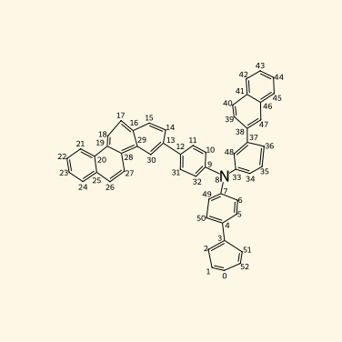 c1ccc(-c2ccc(N(c3ccc(-c4ccc5ccc6c7ccccc7ccc6c5c4)cc3)c3cccc(-c4ccc5ccccc5c4)c3)cc2)cc1